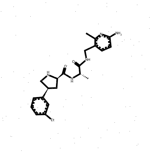 CCc1cccc([C@H]2CN[C@@H](C(=O)N[C@@H](C)C(=O)NCc3ccc(N)nc3C)C2)c1